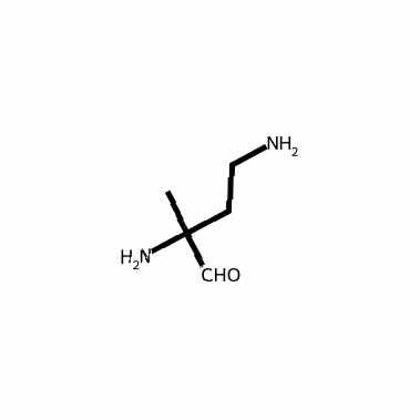 CC(N)(C=O)CCN